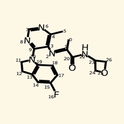 C/C(=N\c1c(C)ncnc1N1CCc2cc(F)ccc21)C(=O)NC1COC1